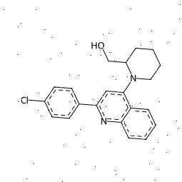 OCC1CCCCN1c1cc(-c2ccc(Cl)cc2)nc2ccccc12